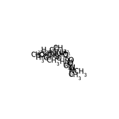 Cc1nc(S(=O)(=O)NC(=O)c2cccc(C(=O)N[C@@H](C(=O)N3CC[C@H](c4ccc(Cl)cc4)C(C)(C)C3)C(C)C)c2)cn1C